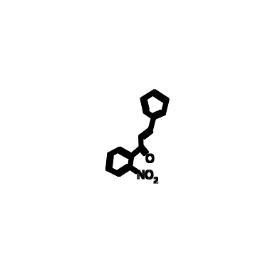 O=C(C=Cc1ccccc1)c1ccccc1[N+](=O)[O-]